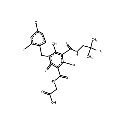 CC(C)(C)CNC(=O)c1c(O)c(C(=O)NCC(=O)O)c(=O)n(Cc2ccc(Cl)cc2Cl)c1O